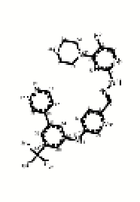 Fc1cnc(N/N=C/c2ccc(Nc3cc(-c4ccnnc4)cc(C(F)(F)F)c3)cn2)nc1N1CCOCC1